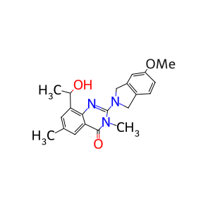 COc1ccc2c(c1)CN(c1nc3c(C(C)O)cc(C)cc3c(=O)n1C)C2